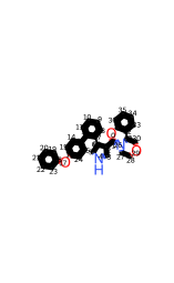 O=C(C1CNC[C@H]1c1ccccc1-c1ccc(Oc2ccccc2)cc1)N1CCOC[C@@H]1c1ccccc1